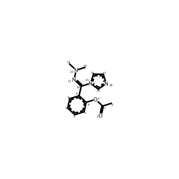 CC(=O)Oc1ccccc1C(=NN(C)C)n1ccnc1